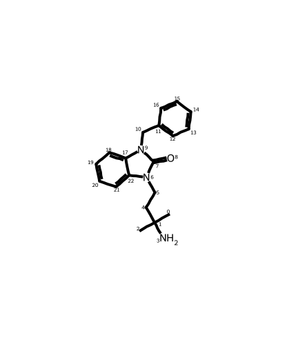 CC(C)(N)CCn1c(=O)n(Cc2ccccc2)c2ccccc21